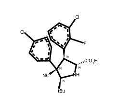 CC(C)(C)[C@@H]1N[C@@H](C(=O)O)[C@H](c2cccc(Cl)c2F)[C@@]1(C#N)c1ccc(Cl)cc1